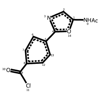 CC(=O)Nc1cnc(-c2ccc(C(=O)Cl)cc2)o1